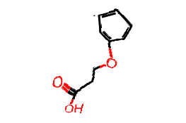 O=C(O)CCOc1c[c]ccc1